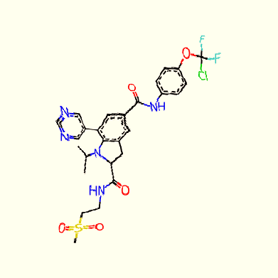 CC(C)N1c2c(cc(C(=O)Nc3ccc(OC(F)(F)Cl)cc3)cc2-c2cncnc2)CC1C(=O)NCCS(C)(=O)=O